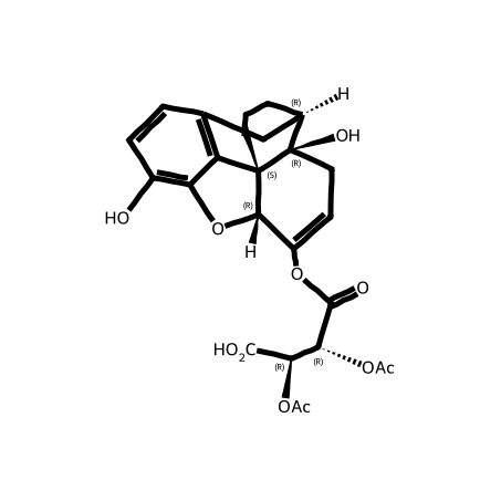 CC(=O)O[C@@H](C(=O)O)[C@@H](OC(C)=O)C(=O)OC1=CC[C@@]2(O)[C@@H]3CCC[C@@]24c2c(ccc(O)c2O[C@@H]14)C3